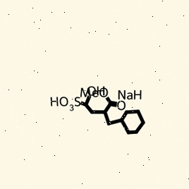 COC(=O)C(CC1CCCCC1)CC(O)S(=O)(=O)O.[NaH]